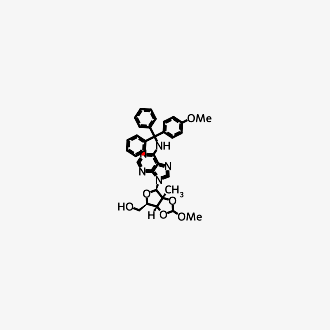 COc1ccc(C(Nc2ncnc3c2ncn3[C@@H]2O[C@H](CO)[C@H]3OC(OC)O[C@]32C)(c2ccccc2)c2ccccc2)cc1